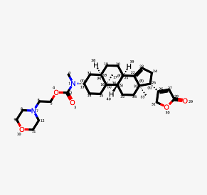 CN(C(=O)OCCN1CCOCC1)[C@H]1CC[C@@]2(C)[C@H](CC[C@H]3C4=CC[C@H](C5=CC(=O)OC5)[C@@]4(C)CC[C@@H]32)C1